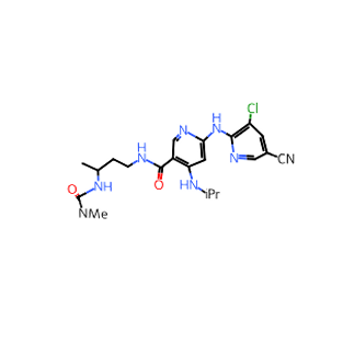 CNC(=O)NC(C)CCNC(=O)c1cnc(Nc2ncc(C#N)cc2Cl)cc1NC(C)C